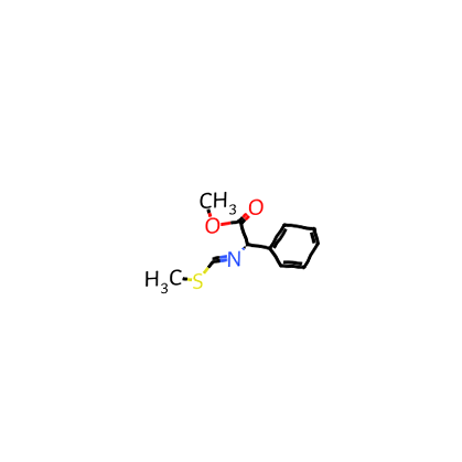 COC(=O)[C@@H](N=CSC)c1ccccc1